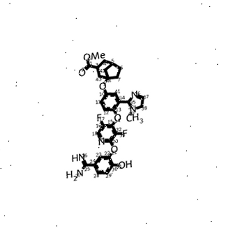 COC(=O)C1CC2CCC(Oc3ccc(Oc4c(F)cnc(Oc5cc(C(=N)N)ccc5O)c4F)c(C4N=CCN4C)c3)(C2)C1